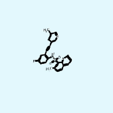 Cc1cncc(C#Cc2cc(F)ccc2NS(=O)(=O)c2c(C)ccc3cccnc23)c1